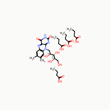 CCCC(=O)O.CCCC(=O)O.CCCC(=O)O.CCCC(=O)O.Cc1cc2nc3c(=O)[nH]c(=O)nc-3n(C[C@H](O)[C@H](O)[C@H](O)CO)c2cc1C